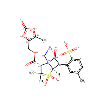 Cc1ccc(S(=O)(=O)[O-])c([C@@H]2C(=O)[N+]3(CN)[C@@H]2S(=O)(=O)C(C)(C)[C@@H]3C(=O)OCc2oc(=O)oc2C)c1